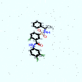 CC(NS(=O)(=O)c1ccc(F)c(C(=O)Nc2ccc(F)c(F)c2)c1)c1ccccc1